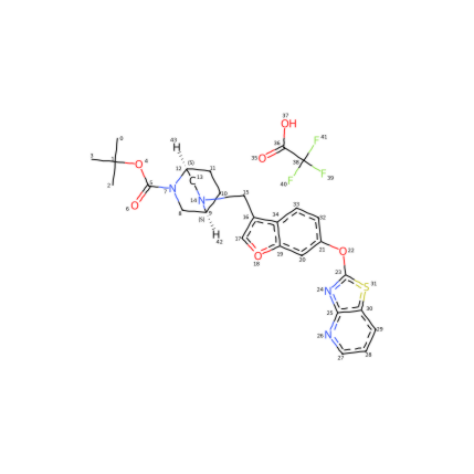 CC(C)(C)OC(=O)N1C[C@@H]2CC[C@H]1CN2Cc1coc2cc(Oc3nc4ncccc4s3)ccc12.O=C(O)C(F)(F)F